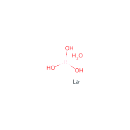 O.OB(O)O.[La]